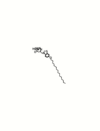 CCCCCCCCCCCCCCCCOc1ccc2c(c1)SCN2CC(CS(=O)(=O)O)=NN